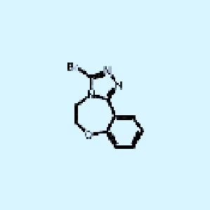 Brc1nnc2n1CCOc1ccccc1-2